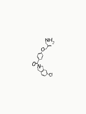 C=C(CN)COc1ccc(C(=O)N2Cc3ccc(Cl)cc3C2)cc1